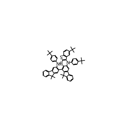 CC(C)(C)c1ccc(N2B3c4sc5ccc(C(C)(C)C)cc5c4N(c4ccc(C(C)(C)C)cc4)c4cc5c(c(c43)-c3cc4c(cc32)-c2ccccc2C4(C)C)C(C)(C)c2ccccc2-5)cc1